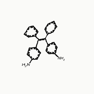 Nc1ccc(C(=C(c2ccccc2)c2ccc(N)cc2)c2ccccc2)cc1